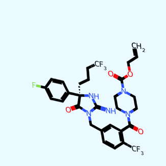 C=CCOC(=O)N1CCN(C(=O)c2cc(CN3C(=N)N[C@](CCCC(F)(F)F)(c4ccc(F)cc4)C3=O)ccc2C(F)(F)F)CC1